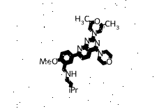 COc1ccc(-c2ccc3c(N4CCOCC4)nc(N4C[C@@H](C)O[C@@H](C)C4)nc3n2)cc1CNCCC(C)C